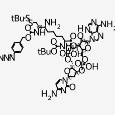 CC(C)(C)OC(=O)NC(CCCCC(N)[C@H](CSSC(C)(C)C)NC(=O)OCc1ccc(N=[N+]=[N-])cc1)C(=O)O[C@H]1[C@@H](O)[C@H](n2cnc3c(N)ncnc32)O[C@H]1COP(=O)(O)O[C@H]1C[C@H](n2ccc(N)nc2=O)O[C@@H]1COP(=O)(O)O